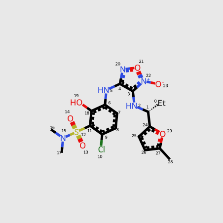 CC[C@@H](Nc1c(Nc2ccc(Cl)c(S(=O)(=O)N(C)C)c2O)no[n+]1[O-])c1ccc(C)o1